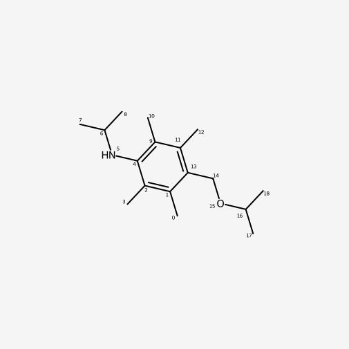 Cc1c(C)c(NC(C)C)c(C)c(C)c1COC(C)C